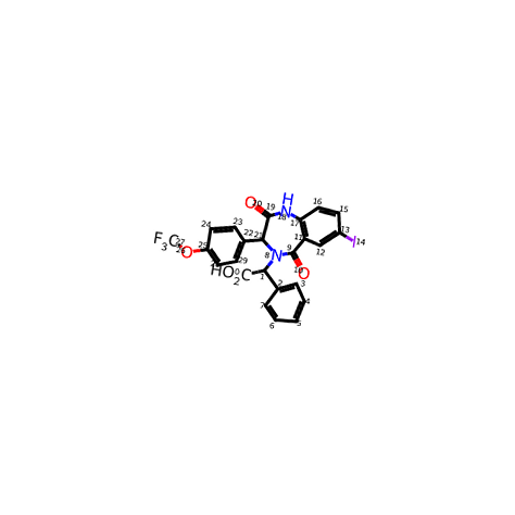 O=C(O)C(c1ccccc1)N1C(=O)c2cc(I)ccc2NC(=O)C1c1ccc(OC(F)(F)F)cc1